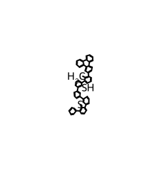 Cc1c(-c2ccc3c4ccccc4c4ccccc4c3c2)cccc1-c1cccc(-c2cccc(-c3cccc4c3sc3c(-c5ccccc5)cccc34)c2)c1S